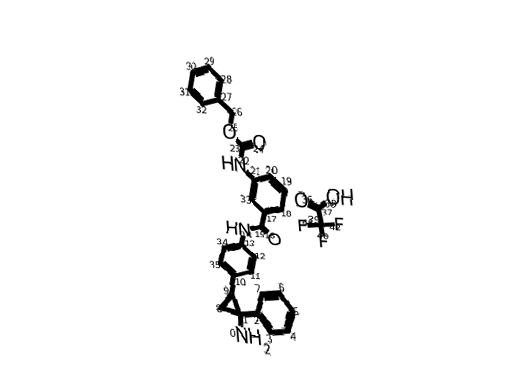 NC1(c2ccccc2)CC1c1ccc(NC(=O)c2cccc(NC(=O)OCc3ccccc3)c2)cc1.O=C(O)C(F)(F)F